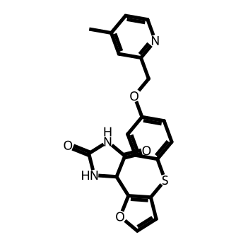 Cc1ccnc(COc2ccc(Sc3ccoc3C3NC(=O)NC3=O)cc2)c1